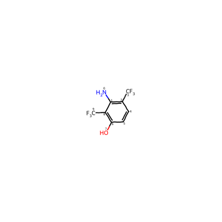 Nc1c(C(F)(F)F)ccc(O)c1C(F)(F)F